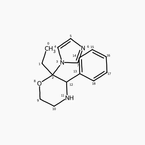 CCC1(n2ccnc2)OCCNC1c1ccccc1